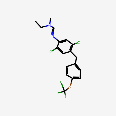 CCN(C)C=Nc1cc(Cl)c(Cc2ccc(SC(F)(F)F)cc2)cc1Cl